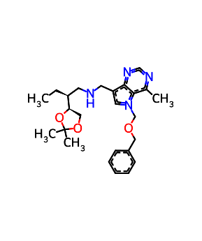 CC[C@@H](CNCc1cn(COCc2ccccc2)c2c(C)ncnc12)[C@H]1COC(C)(C)O1